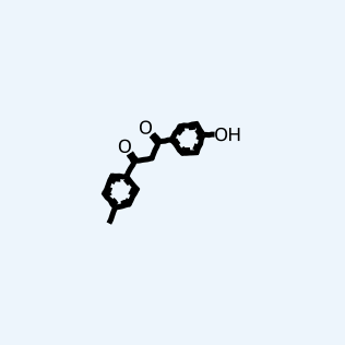 Cc1ccc(C(=O)CC(=O)c2ccc(O)cc2)cc1